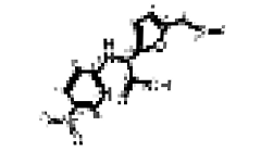 CSCc1ccc(C(Nc2ccc([N+](=O)[O-])cn2)C(=O)O)o1